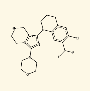 FC(F)c1cc2c(cc1Cl)CCCN2c1nc(N2CCOCC2)n2c1CNCC2